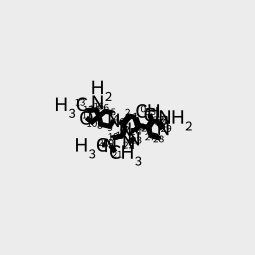 Cc1cc(N2CCC3(CC2)CO[C@@H](C)[C@H]3N)n2c(CN(C)C)nnc2c1-c1ccnc(N)c1Cl